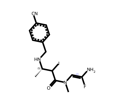 C[C@H](NCc1ccc(C#N)cc1)C(I)C(=O)N(C)/C=C(/N)F